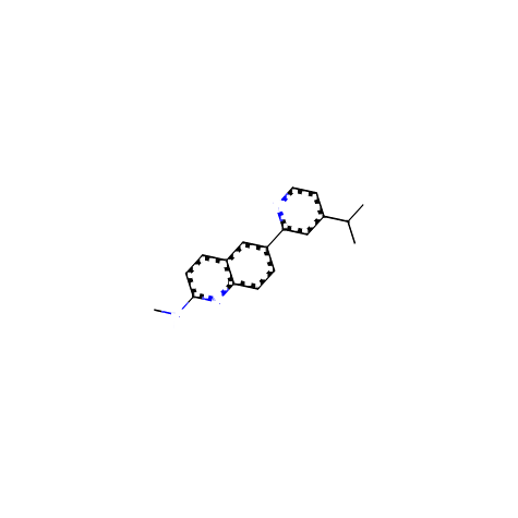 CNc1ccc2cc(-c3cc(C(C)C)ccn3)ccc2n1